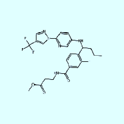 CCCC(Nc1ccc(-n2cc(C(F)(F)F)cn2)nc1)c1ccc(C(=O)NCCC(=O)OC)cc1F